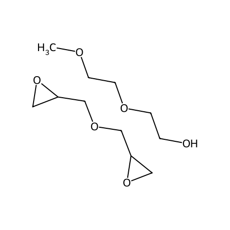 C(OCC1CO1)C1CO1.COCCOCCO